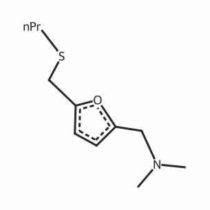 CCCSCc1ccc(CN(C)C)o1